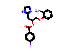 O=C(OC(COc1ccccc1[N+](=O)[O-])Cc1ncc[nH]1)c1ccc(I)cc1